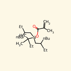 C=C(C)C(=O)O[Si](CC(CC)CCCC)(CC(CC)CCCC)C(C)(C)CC